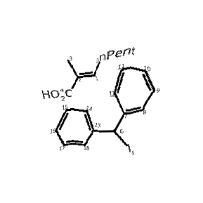 CCCCCC=C(C)C(=O)O.IC(c1ccccc1)c1ccccc1